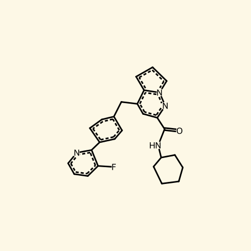 O=C(NC1CCCCC1)c1cc(Cc2ccc(-c3ncccc3F)cc2)c2cccn2n1